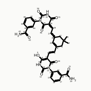 CC1(C)CC(/C=C/c2c(O)[nH]c(=O)n(-c3cccc(C(N)=O)c3)c2=O)=CC(=C/C=C2/C(=O)NC(=O)N(c3cccc(C(N)=O)c3)C2=O)/C1